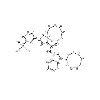 O=C(NN1CN(C2CCCCCCCC2)c2ccccc21)C1OC(c2cccc(C(F)(F)F)c2)CC12CCCCCCCC2